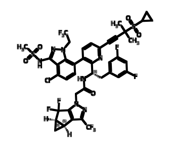 CC(C)(C#Cc1ccc(-c2ccc(Cl)c3c(NS(C)(=O)=O)nn(CC(F)(F)F)c23)c([C@H](Cc2cc(F)cc(F)c2)NC(=O)Cn2nc(C(F)(F)F)c3c2C(F)(F)[C@@H]2C[C@H]32)n1)S(=O)(=O)C1CC1